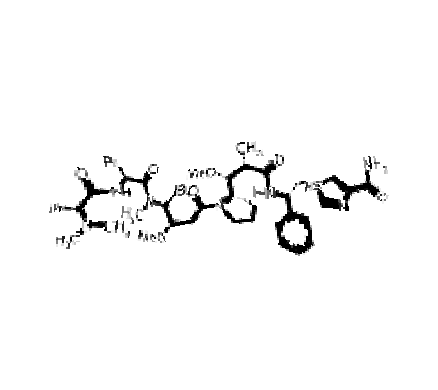 CC[C@H](C)[C@@H]([C@@H](CC(=O)N1CCC[C@H]1[C@H](OC)[C@H](C)C(=O)N[C@H](C[SH]1C=NC(C(N)=O)=C1)c1ccccc1)OC)N(C)C(=O)[C@@H](NC(=O)[C@H](C(C)C)N(C)C)C(C)C